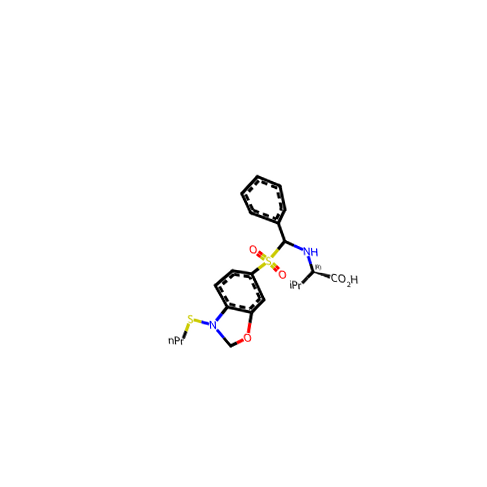 CCCSN1COc2cc(S(=O)(=O)C(N[C@@H](C(=O)O)C(C)C)c3ccccc3)ccc21